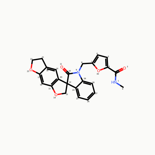 CNC(=O)c1ccc(CN2C(=O)C3(COc4cc5c(cc43)CCO5)c3ccccc32)o1